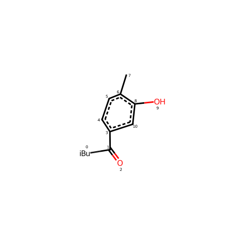 CCC(C)C(=O)c1ccc(C)c(O)c1